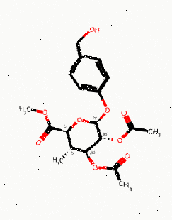 COC(=O)[C@H]1O[C@@H](Oc2ccc(CO)cc2)[C@H](OC(C)=O)[C@@H](OC(C)=O)[C@@H]1C